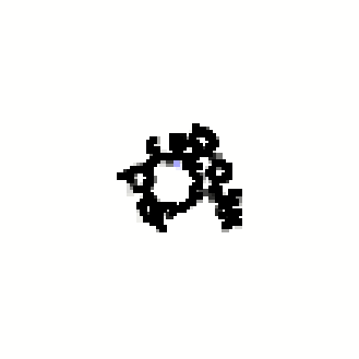 Cc1cc2cc(n1)-c1cnn(C)c1OCCCCCN1/C(=N/C2=O)Nc2cccc(N3CCC(NC(=O)OC(C)(C)C)C3)c21